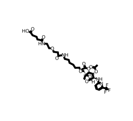 CC(=O)O[C@@H]1[C@@H](Nc2cccc(C(F)(F)F)n2)[C@H]2OC[C@](COCCCCCCNC(=O)CCOCCNC(=O)CCCC(=O)O)(O2)[C@@H]1OC(C)=O